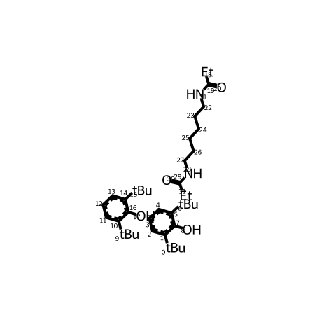 CC(C)(C)c1cccc(C(C)(C)C)c1O.CC(C)(C)c1cccc(C(C)(C)C)c1O.CCC(=O)NCCCCCCNC(=O)CC